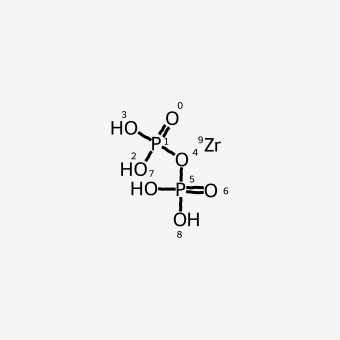 O=P(O)(O)OP(=O)(O)O.[Zr]